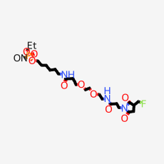 CCOP(=O)(N=O)OCCCCCCNC(=O)CCOCCOCCNC(=O)CCN1C(=O)CC(CF)C1=O